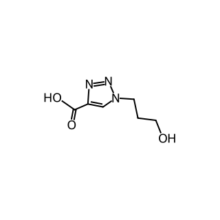 O=C(O)c1cn(CCCO)nn1